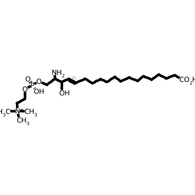 C[N+](C)(C)CCOP(=O)(O)OCC(N)C(O)/C=C/CCCCCCCCCCCCCC(=O)O